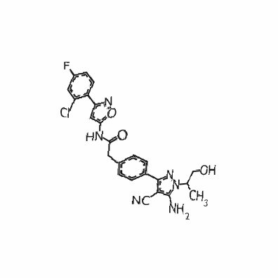 CC(CO)n1nc(-c2ccc(CC(=O)Nc3cc(-c4ccc(F)cc4Cl)no3)cc2)c(C#N)c1N